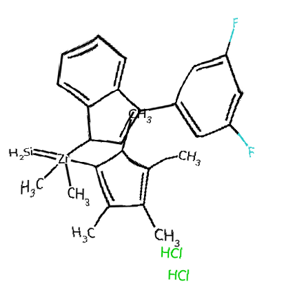 CC1=C(C)C(C)[C]([Zr]([CH3])([CH3])(=[SiH2])[CH]2C=C(c3cc(F)cc(F)c3)c3ccccc32)=C1C.Cl.Cl